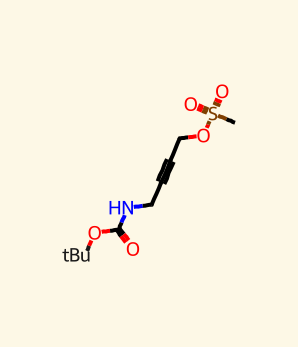 CC(C)(C)OC(=O)NCC#CCOS(C)(=O)=O